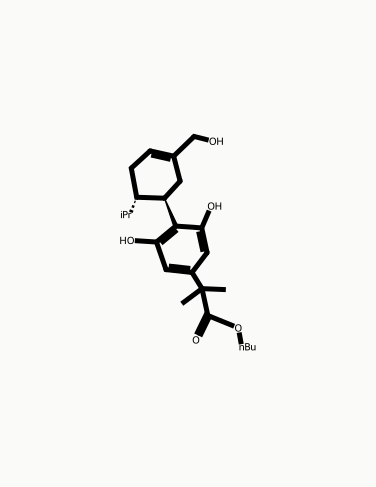 CCCCOC(=O)C(C)(C)c1cc(O)c([C@@H]2CC(CO)=CC[C@H]2C(C)C)c(O)c1